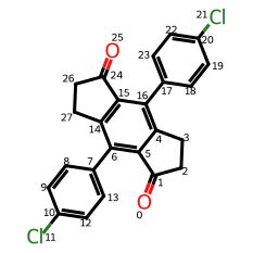 O=C1CCc2c1c(-c1ccc(Cl)cc1)c1c(c2-c2ccc(Cl)cc2)C(=O)CC1